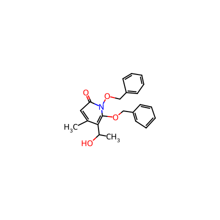 Cc1cc(=O)n(OCc2ccccc2)c(OCc2ccccc2)c1C(C)O